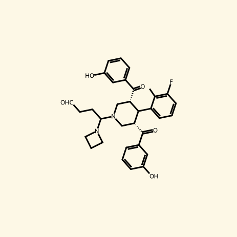 Cc1c(F)cccc1C1[C@@H](C(=O)c2cccc(O)c2)CN(C(CCC=O)N2CCC2)C[C@H]1C(=O)c1cccc(O)c1